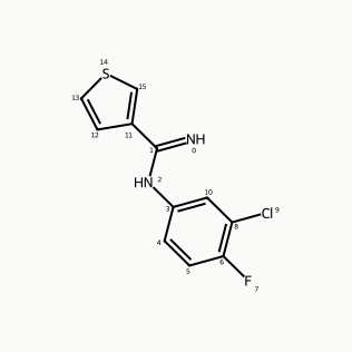 N=C(Nc1ccc(F)c(Cl)c1)c1ccsc1